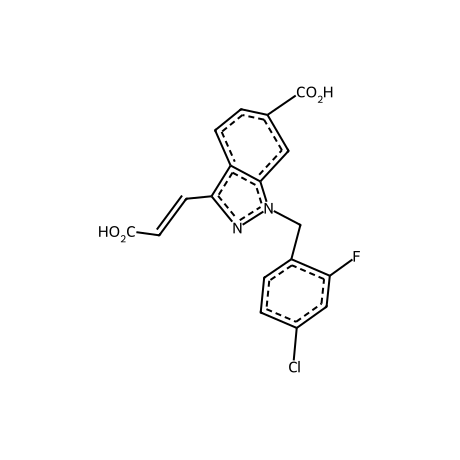 O=C(O)C=Cc1nn(Cc2ccc(Cl)cc2F)c2cc(C(=O)O)ccc12